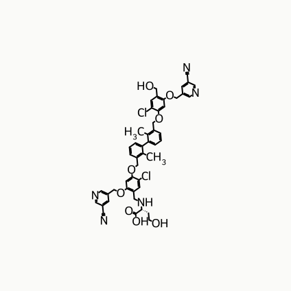 Cc1c(COc2cc(OCc3cncc(C#N)c3)c(CO)cc2Cl)cccc1-c1cccc(COc2cc(OCc3cncc(C#N)c3)c(CN[C@H](CCO)C(=O)O)cc2Cl)c1C